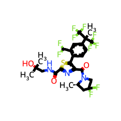 C[C@H]1CC(F)(F)CN1C(=O)c1nc(C(=O)NCC(C)(C)O)sc1-c1ccc(C(C)(C(F)(F)F)C(F)(F)F)cc1C(F)F